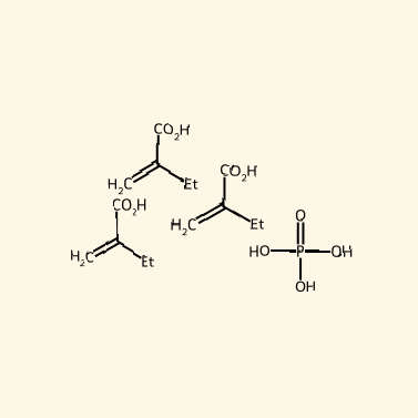 C=C(CC)C(=O)O.C=C(CC)C(=O)O.C=C(CC)C(=O)O.O=P(O)(O)O